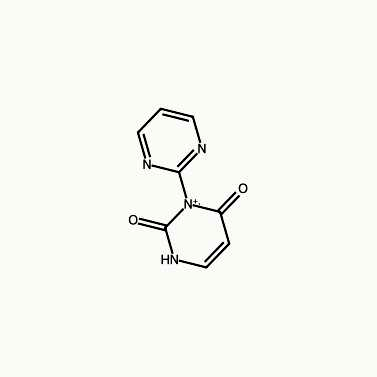 O=C1C=CNC(=O)[N+]1c1ncccn1